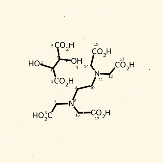 O=C(O)C(O)C(O)C(=O)O.O=C(O)CN(CCN(CC(=O)O)CC(=O)O)CC(=O)O